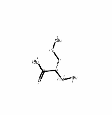 CC(C)(C)N[C@@H](CSC(C)(C)C)C(=O)C(C)(C)C